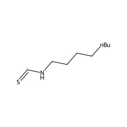 CCCCCCCCN[C]=S